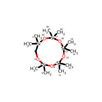 C[Si]1(C)CO[Si](C)(C)O[Si](C)(C)O[Si](C)(C)O[Si](C)(C)O1